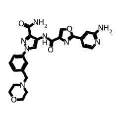 NC(=O)c1nn(-c2cccc(CN3CCOCC3)c2)cc1NC(=O)c1coc(-c2ccnc(N)c2)n1